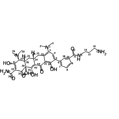 CN(C)c1cc(-c2cccc(C(=O)NCCCN)c2)c(O)c2c1C[C@H]1C[C@H]3[C@H](N(C)C)C(O)=C(C(N)=O)C(=O)[C@@]3(O)C(O)=C1C2=O